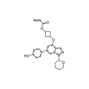 CNC(=O)OC1CC(Oc2cc(-c3ccc(O)cc3)cc3c2cnn3C2CCCCO2)C1